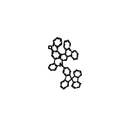 c1ccc(N(c2ccc3c(c2)-c2ccccc2C32c3ccccc3-c3ccccc32)c2ccc3c4ccccc4c4ccccc4c3c2)c(-c2ccc3c(c2)oc2ccccc23)c1